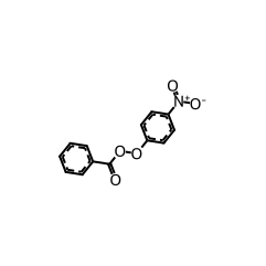 O=C(OOc1ccc([N+](=O)[O-])cc1)c1ccccc1